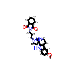 COc1ccc2[nH]c3c(c2c1)CCNC31CCN(CCCN2C(=O)C3CCCCC3C2=O)C1